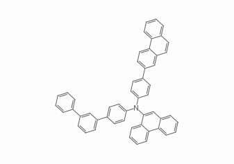 c1ccc(-c2cccc(-c3ccc(N(c4ccc(-c5ccc6c(ccc7ccccc76)c5)cc4)c4cc5ccccc5c5ccccc45)cc3)c2)cc1